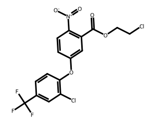 O=C(OCCCl)c1cc(Oc2ccc(C(F)(F)F)cc2Cl)ccc1[N+](=O)[O-]